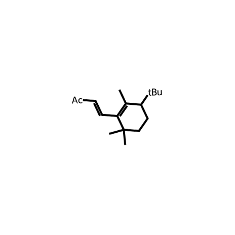 CC(=O)/C=C/C1=C(C)C(C(C)(C)C)CCC1(C)C